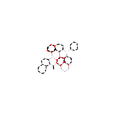 O=C(N[C@@H]1CCCC[C@H]1NC(=O)c1c(P(c2ccccc2)c2ccccc2)ccc2ccccc12)c1c(P(c2ccccc2)c2ccccc2)ccc2ccccc12